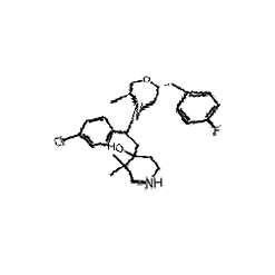 C[C@H]1CO[C@H](Cc2ccc(F)cc2)CN1C(CC1(O)CCNCC1(C)C)c1ccc(Cl)cc1